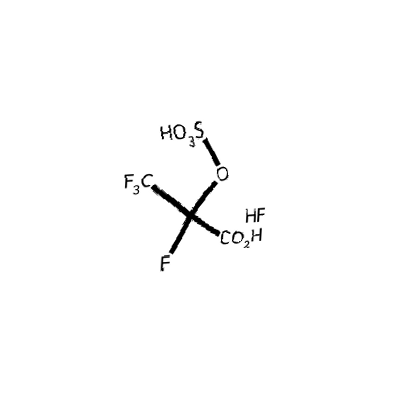 F.O=C(O)C(F)(OS(=O)(=O)O)C(F)(F)F